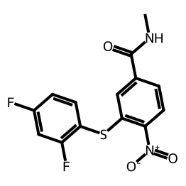 CNC(=O)c1ccc([N+](=O)[O-])c(Sc2ccc(F)cc2F)c1